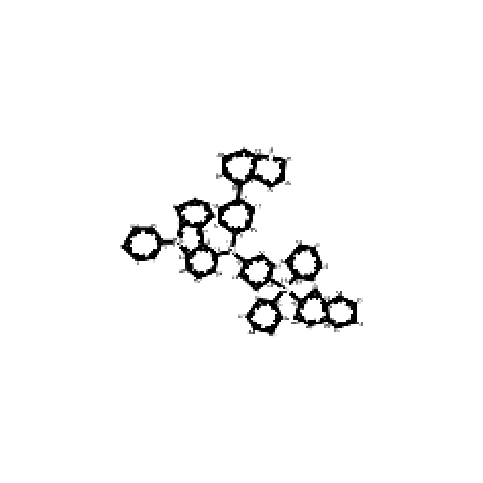 c1ccc(-n2c3ccccc3c3c(N(c4ccc(-c5cccc6ccccc56)cc4)c4ccc([Si](c5ccccc5)(c5ccccc5)c5ccc6ccccc6c5)cc4)cccc32)cc1